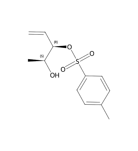 C=C[C@@H](OS(=O)(=O)c1ccc(C)cc1)[C@H](C)O